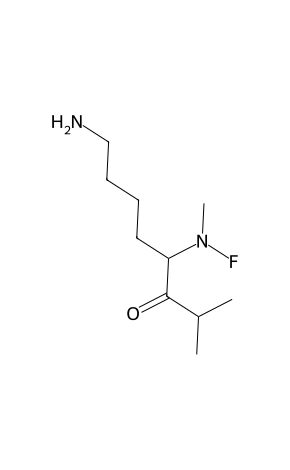 CC(C)C(=O)C(CCCCN)N(C)F